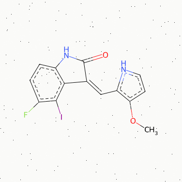 COc1cc[nH]c1C=C1C(=O)Nc2ccc(F)c(I)c21